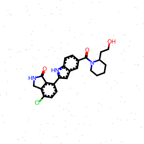 O=C1NCc2c(Cl)ccc(-c3cc4cc(C(=O)N5CCCCC5CCO)ccc4[nH]3)c21